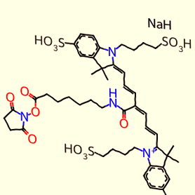 CC1(C)C(/C=C/C=C(/C=C/C=C2/N(CCCCS(=O)(=O)O)c3ccc(S(=O)(=O)O)cc3C2(C)C)C(=O)NCCCCCCC(=O)ON2C(=O)CCC2=O)=[N+](CCCCS(=O)(=O)O)c2ccc(S(=O)(=O)O)cc21.[NaH]